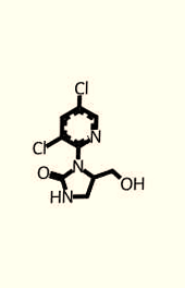 O=C1NCC(CO)N1c1ncc(Cl)cc1Cl